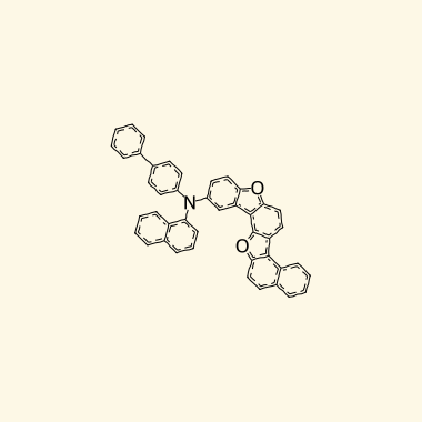 c1ccc(-c2ccc(N(c3ccc4oc5ccc6c(oc7ccc8ccccc8c76)c5c4c3)c3cccc4ccccc34)cc2)cc1